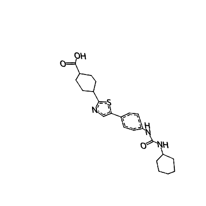 O=C(Nc1ccc(-c2cnc(C3CCC(C(=O)O)CC3)s2)cc1)NC1CCCCC1